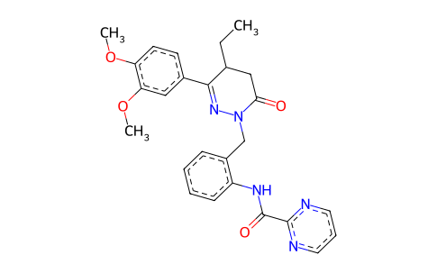 CCC1CC(=O)N(Cc2ccccc2NC(=O)c2ncccn2)N=C1c1ccc(OC)c(OC)c1